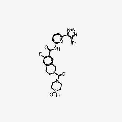 CC(C)n1nnnc1-c1cccc(NC(=O)c2cc3c(cc2F)CCN(C(=O)N2CCS(=O)(=O)CC2)C3)n1